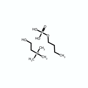 CCCCOP(=O)(O)O.C[N+](C)(C)CCO